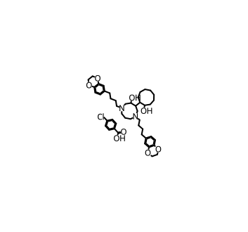 O=C(O)c1ccc(Cl)cc1.OC1CCCCCCCC1C1CN(CCCCc2ccc3c(c2)OCCO3)CCCN(CCCCc2ccc3c(c2)OCCO3)CC1O